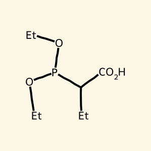 CCOP(OCC)C(CC)C(=O)O